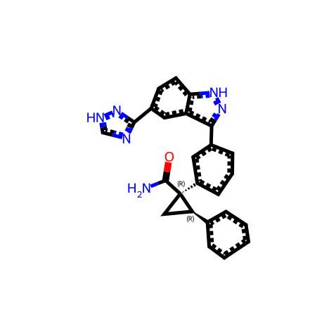 NC(=O)[C@]1(c2cccc(-c3n[nH]c4ccc(-c5nc[nH]n5)cc34)c2)C[C@@H]1c1ccccc1